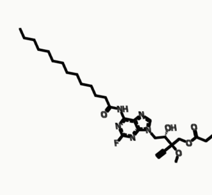 C#CC(COC(=O)CC)(OC)[C@@H](O)Cn1cnc2c(NC(=O)CCCCCCCCCCCCC)nc(F)nc21